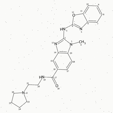 Cn1c(Nc2nc3ccccc3o2)nc2cc(C(=O)NCCN3CCCC3)ccc21